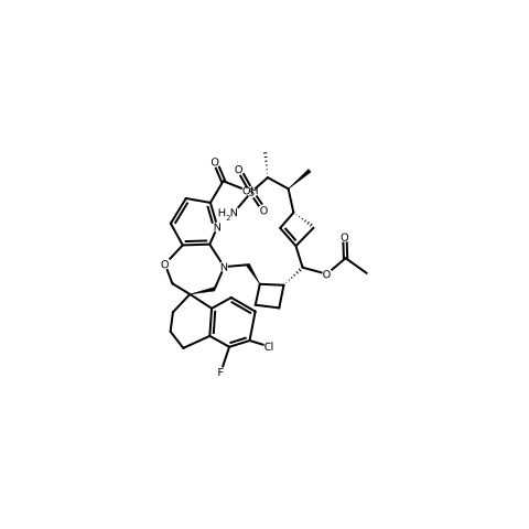 CC(=O)OC(C1=C[C@H]([C@H](C)[C@@H](C)S(N)(=O)=O)C1)[C@@H]1CC[C@H]1CN1C[C@@]2(CCCc3c2ccc(Cl)c3F)COc2ccc(C(=O)O)nc21